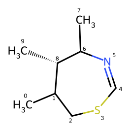 CC1CSC=NC(C)[C@H]1C